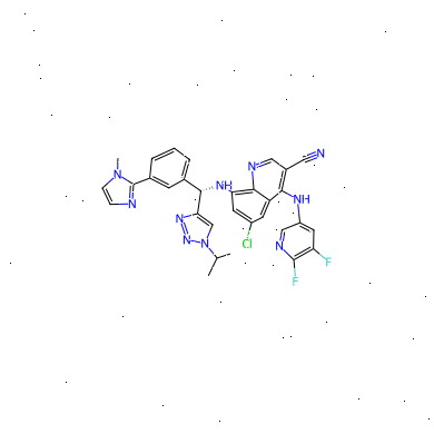 CC(C)n1cc([C@@H](Nc2cc(Cl)cc3c(Nc4cnc(F)c(F)c4)c(C#N)cnc23)c2cccc(-c3nccn3C)c2)nn1